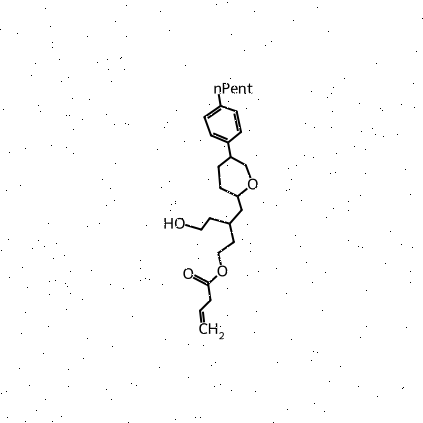 C=CCC(=O)OCCC(CCO)CC1CCC(c2ccc(CCCCC)cc2)CO1